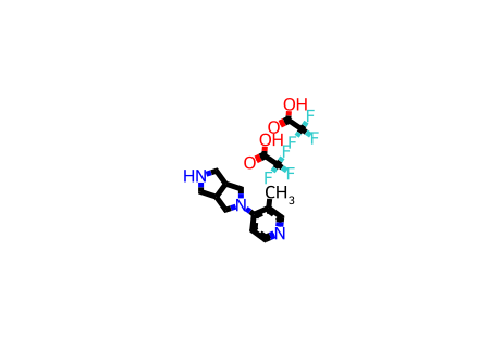 Cc1cnccc1N1CC2CNCC2C1.O=C(O)C(F)(F)F.O=C(O)C(F)(F)F